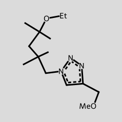 CCOC(C)(C)CC(C)(C)Cn1cc(COC)nn1